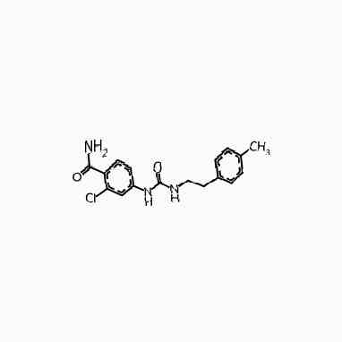 Cc1ccc(CCNC(=O)Nc2ccc(C(N)=O)c(Cl)c2)cc1